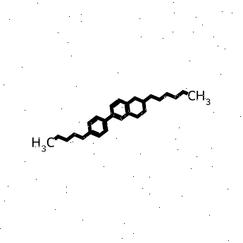 CCCCCCC1CCc2cc(-c3ccc(CCCCC)cc3)ccc2C1